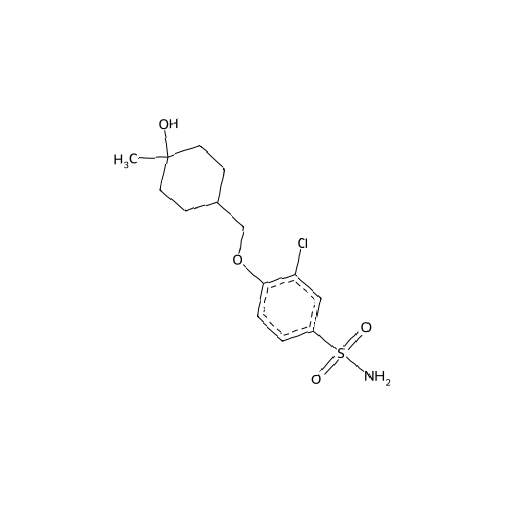 CC1(O)CCC(COc2ccc(S(N)(=O)=O)cc2Cl)CC1